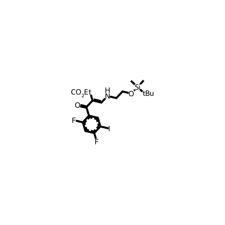 CCOC(=O)C(=CNCCO[Si](C)(C)C(C)(C)C)C(=O)c1cc(I)c(F)cc1F